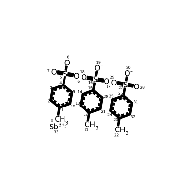 Cc1ccc(S(=O)(=O)[O-])cc1.Cc1ccc(S(=O)(=O)[O-])cc1.Cc1ccc(S(=O)(=O)[O-])cc1.[Sb+3]